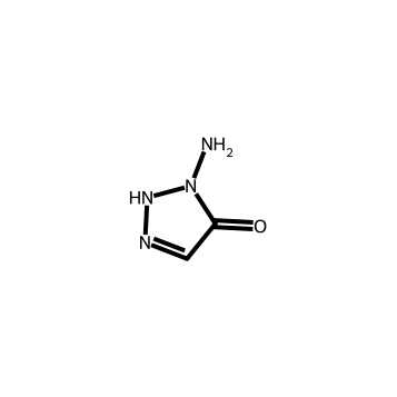 Nn1[nH]ncc1=O